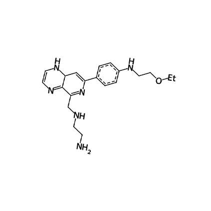 CCOCCNc1ccc(C2=CC3NC=CN=C3C(CNCCN)=N2)cc1